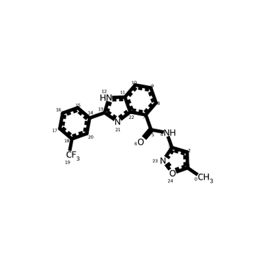 Cc1cc(NC(=O)c2cccc3[nH]c(-c4cccc(C(F)(F)F)c4)nc23)no1